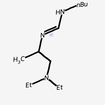 CCCCN/C=N/C(C)CN(CC)CC